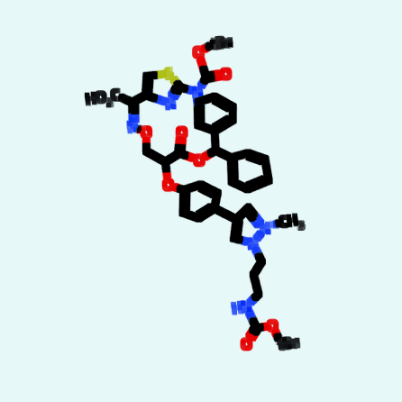 C[n+]1cc(-c2ccc(OC(CON=C(C(=O)O)c3csc(NC(=O)OC(C)(C)C)n3)C(=O)OC(c3ccccc3)c3ccccc3)cc2)cn1CCCNC(=O)OC(C)(C)C